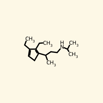 CCC1=CCC(C(C)CCN[C](C)C)=C1CC